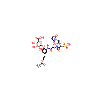 CC(=O)OC/C=C/c1ccc(O[C@@H]2O[C@H](C(=O)O)[C@@H](O)[C@H](O)[C@H]2O)c(NC(=O)CCNC(=O)[C@H](CS(=O)(=O)O)NC(=O)CN2C(=O)C=CC2=O)c1